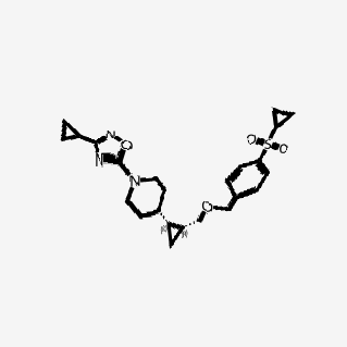 O=S(=O)(c1ccc(COC[C@@H]2C[C@@H]2C2CCN(c3nc(C4CC4)no3)CC2)cc1)C1CC1